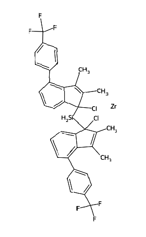 CC1=C(C)C(Cl)([SiH2]C2(Cl)C(C)=C(C)c3c(-c4ccc(C(F)(F)F)cc4)cccc32)c2cccc(-c3ccc(C(F)(F)F)cc3)c21.[Zr]